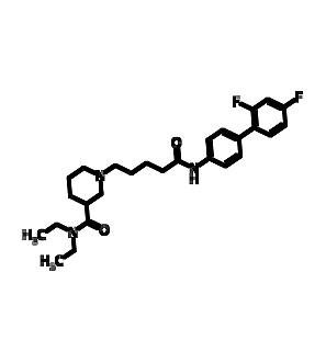 CCN(CC)C(=O)C1CCCN(CCCCC(=O)Nc2ccc(-c3ccc(F)cc3F)cc2)C1